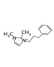 Cc1n(C)cc[n+]1CCCc1ccccc1